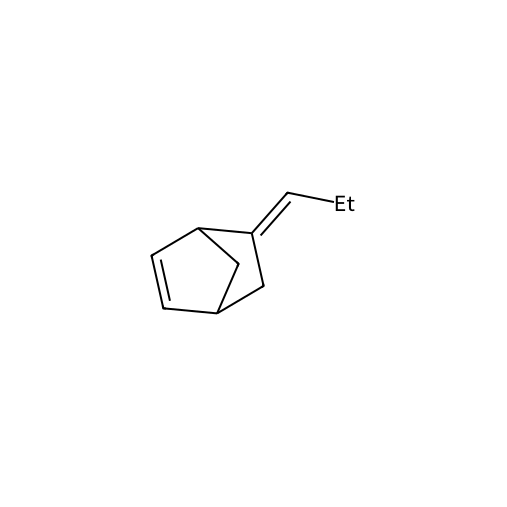 CCC=C1CC2C=CC1C2